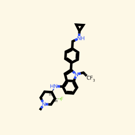 CN1CC[C@H](Nc2cccc3c2cc(-c2ccc(CNC4CC4)cc2)n3CC(F)(F)F)[C@H](F)C1